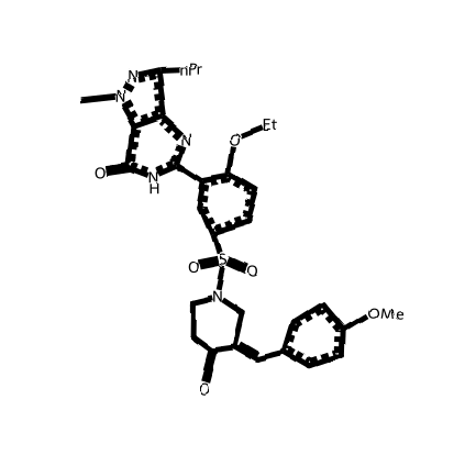 CCCc1nn(C)c2c(=O)[nH]c(-c3cc(S(=O)(=O)N4CCC(=O)C(=Cc5ccc(OC)cc5)C4)ccc3OCC)nc12